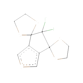 FC1(F)C2(SCCS2)c2cscc2C12SCCS2